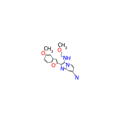 COCCNc1c(-c2cc3cc(OC)ccc3o2)nc2cc(C#N)ccn12